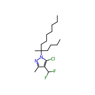 CCCCCCCC(C)(CCCC)n1nc(C)c(C(F)F)c1Cl